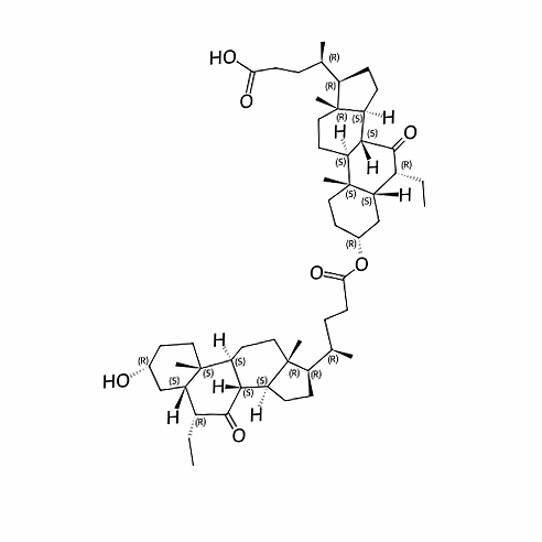 CC[C@H]1C(=O)[C@@H]2[C@H](CC[C@]3(C)[C@@H]([C@H](C)CCC(=O)O[C@@H]4CC[C@]5(C)[C@H]6CC[C@]7(C)[C@@H]([C@H](C)CCC(=O)O)CC[C@H]7[C@@H]6C(=O)[C@H](CC)[C@@H]5C4)CC[C@@H]23)[C@@]2(C)CC[C@@H](O)C[C@@H]12